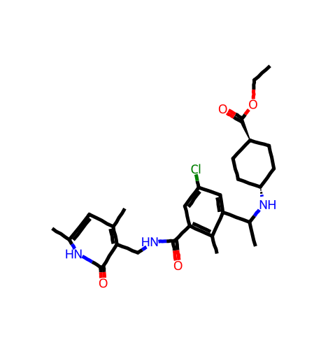 CCOC(=O)[C@H]1CC[C@H](NC(C)c2cc(Cl)cc(C(=O)NCc3c(C)cc(C)[nH]c3=O)c2C)CC1